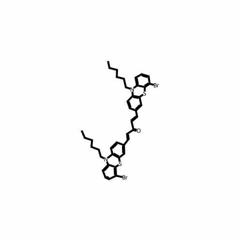 CCCCCCN1c2ccc(C=CC(=O)C=Cc3ccc4c(c3)Sc3c(Br)cccc3N4CCCCCC)cc2Sc2c(Br)cccc21